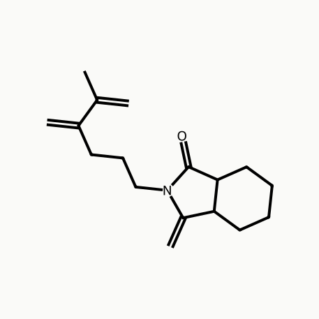 C=C(C)C(=C)CCCN1C(=C)C2CCCCC2C1=O